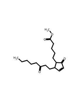 CCCCCC(=O)CCC1C=CC(=O)C1CCCCC(=O)OC